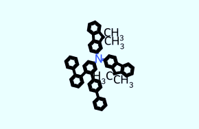 CC1(C)c2ccccc2-c2ccc(N(c3ccc(-c4ccccc4-c4ccccc4)c(-c4ccc(-c5ccccc5)cc4)c3)c3ccc4c(c3)C(C)(C)c3ccccc3-4)cc21